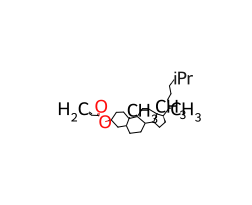 C=CC(=O)OC1CC[C@@]2(C)C(CCC3C2CC[C@@]2(C)C3CC[C@@H]2[C@H](C)CCCC(C)C)C1